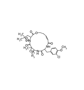 COc1ccc(CC2NC(=O)C=CCCOC(=O)C(CC(C)(C)C)NC(=O)C(C)(C)C(C)NC2=O)cc1Cl